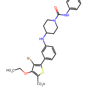 O=C(O)COc1c(C(=O)O)sc(-c2cccc(NC3CCN(C(=O)Nc4ccccc4)CC3)c2)c1Br